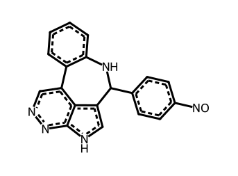 O=Nc1ccc(C2Nc3ccccc3-c3cnnc4[nH]cc2c34)cc1